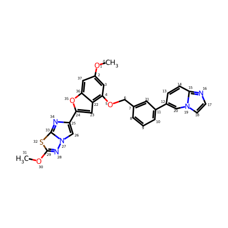 COc1cc(OCc2cccc(-c3ccc4nccn4c3)c2)c2cc(-c3cn4nc(OC)sc4n3)oc2c1